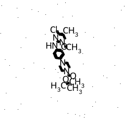 COc1cc(N2CCN(C(=O)OC(C)(C)C)CC2)ccc1Nc1ncc(C)c(Cl)n1